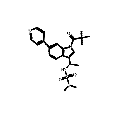 CC(NS(=O)(=O)N(C)C)c1cn(C(=O)C(C)(C)C)c2cc(-c3ccncc3)ccc12